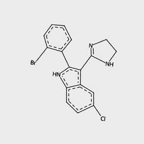 Clc1ccc2[nH]c(-c3ccccc3Br)c(C3=NCCN3)c2c1